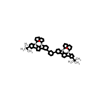 CC(C)(C)c1ccc2c(c1)c1ccc3c4cc(-c5cccc(-c6ccc7c(c6)c6ccc8c9cc(C(C)(C)C)ccc9n(-c9ccccc9)c8c6n7-c6ccccc6)c5)ccc4n(-c4ccccc4)c3c1n2-c1ccccc1